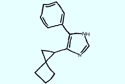 c1ccc(-c2[nH]cnc2C2CC23CCC3)cc1